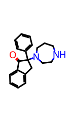 O=C1c2ccccc2CC1(c1ccccc1)N1CCCNCC1